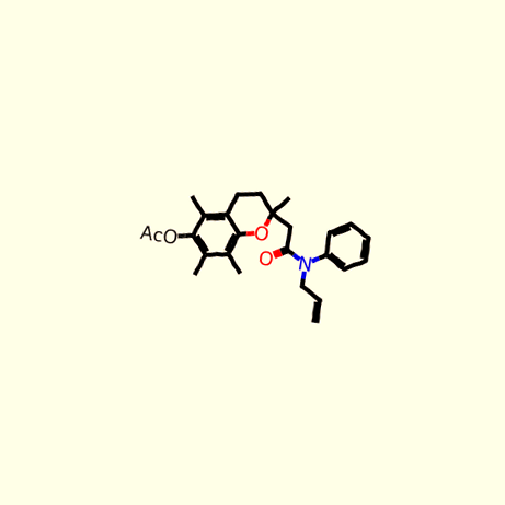 C=CCN(C(=O)CC1(C)CCc2c(C)c(OC(C)=O)c(C)c(C)c2O1)c1ccccc1